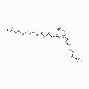 CCCCC=CO[C@@H](CO)COCCCCCCCCCCCC